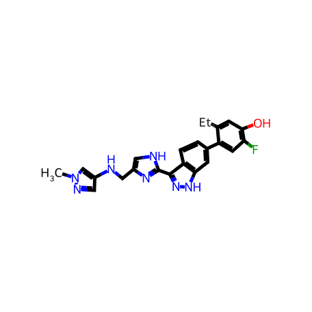 CCc1cc(O)c(F)cc1-c1ccc2c(-c3nc(CNc4cnn(C)c4)c[nH]3)n[nH]c2c1